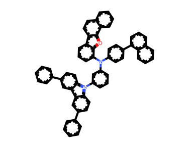 c1ccc(-c2ccc3c(c2)c2cc(-c4ccccc4)ccc2n3-c2cccc(N(c3ccc(-c4cccc5ccccc45)cc3)c3cccc4c3oc3c5ccccc5ccc43)c2)cc1